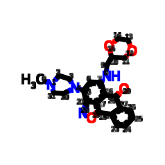 CN1CCN(c2cc(NCC3COCCO3)c3c4c(onc24)-c2ccccc2C3=O)CC1